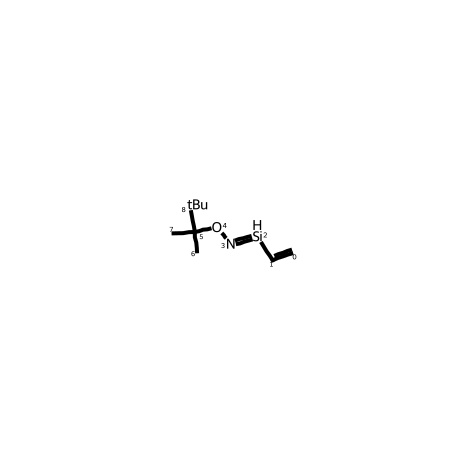 C=C[SiH]=NOC(C)(C)C(C)(C)C